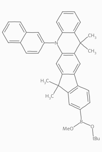 COB(OC(C)(C)C)c1ccc2c(c1)C(C)(C)c1cc3c(cc1-2)C(C)(C)c1ccccc1N3c1ccc2ccccc2c1